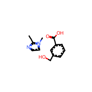 Cc1nccn1C.O=C(O)c1cccc(CO)c1